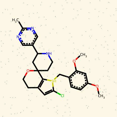 COc1ccc(C[SH]2C(Cl)=CC3=C2C2(CCNC(c4cnc(C)nc4)C2)OCC3)c(OC)c1